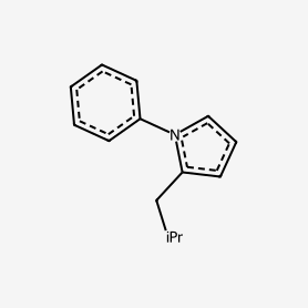 CC(C)Cc1cccn1-c1ccccc1